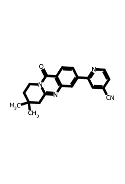 CC1(C)CCn2c(nc3cc(-c4cc(C#N)ccn4)ccc3c2=O)C1